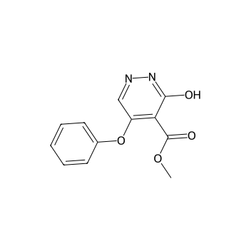 COC(=O)c1c(Oc2ccccc2)cnnc1O